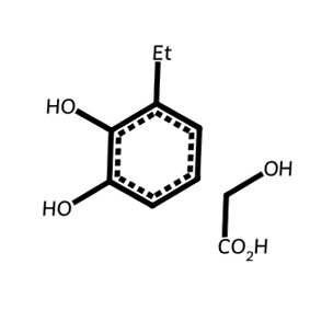 CCc1cccc(O)c1O.O=C(O)CO